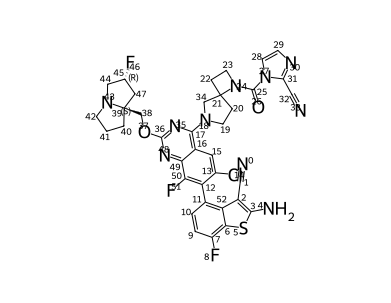 N#Cc1c(N)sc2c(F)ccc(-c3c(Cl)cc4c(N5CCC6(CCN6C(=O)n6ccnc6C#N)C5)nc(OC[C@@]56CCCN5C[C@H](F)C6)nc4c3F)c12